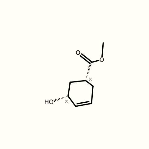 COC(=O)[C@@H]1CC=C[C@H](O)C1